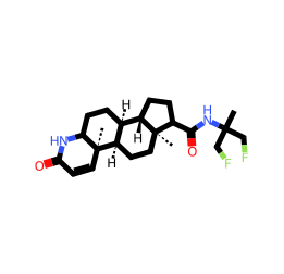 CC(CF)(CF)NC(=O)C1CC[C@H]2[C@@H]3CCC4NC(=O)C=C[C@]4(C)[C@@H]3CC[C@]12C